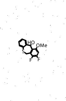 COc1cc(F)c(F)c2c1C(O)c1ccccc1SC2